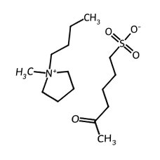 CC(=O)CCCCS(=O)(=O)[O-].CCCC[N+]1(C)CCCC1